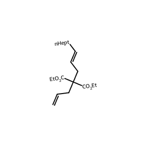 C=CCC(CC=CCCCCCCC)(C(=O)OCC)C(=O)OCC